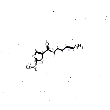 C/C=C/CCNC(=O)c1cnc(SCC)s1